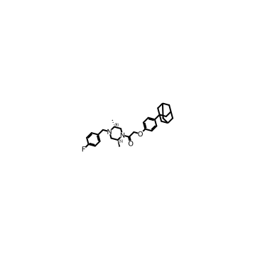 C[C@@H]1CN(C(=O)COc2ccc(C34CC5CC(CC(C5)C3)C4)cc2)[C@@H](C)CN1Cc1ccc(F)cc1